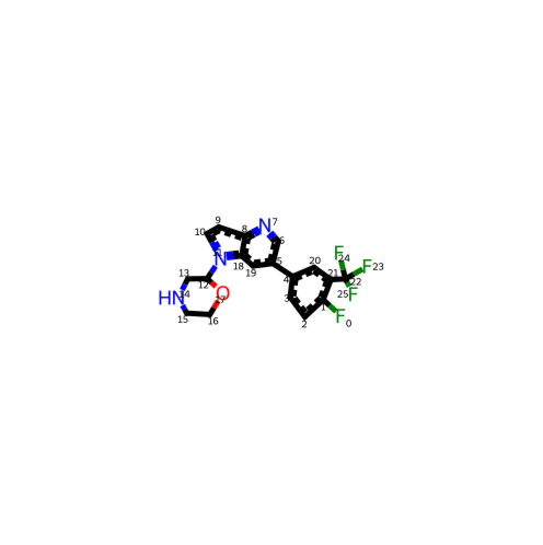 Fc1ccc(-c2cnc3ccn(C4CNCCO4)c3c2)cc1C(F)(F)F